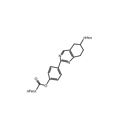 CCCCCCC1CCc2nc(-c3ccc(OC(=O)CCCCC)cc3)ncc2C1